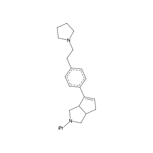 CC(C)N1CC2CC=C(c3ccc(CCN4CCCC4)cc3)C2C1